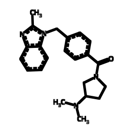 Cc1nc2ccccc2n1Cc1ccc(C(=O)N2CCC(N(C)C)C2)cc1